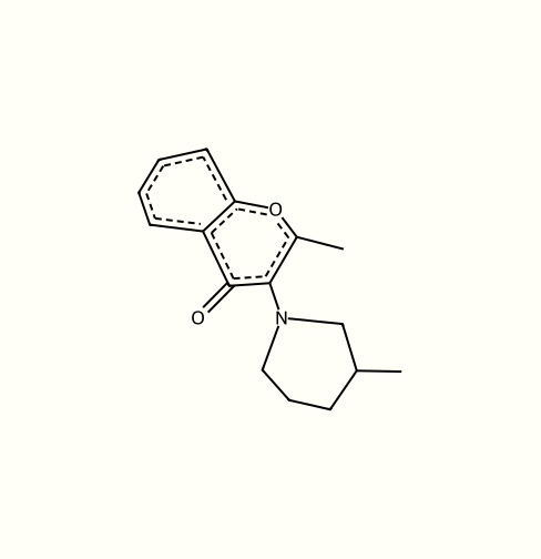 Cc1oc2ccccc2c(=O)c1N1CCCC(C)C1